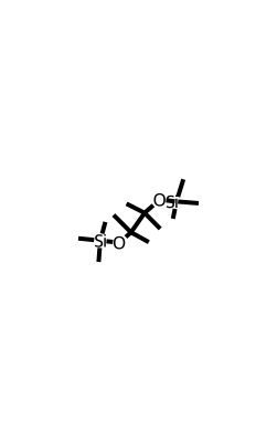 CC(C)(O[Si](C)(C)C)C(C)(C)O[Si](C)(C)C